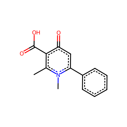 Cc1c(C(=O)O)c(=O)cc(-c2ccccc2)n1C